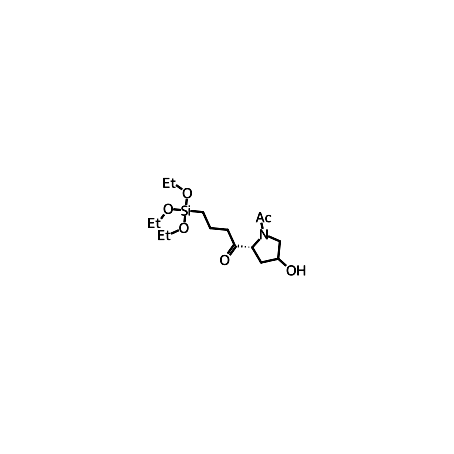 CCO[Si](CCCC(=O)[C@H]1CC(O)CN1C(C)=O)(OCC)OCC